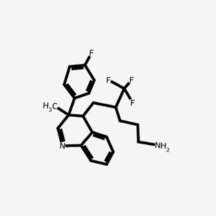 CC1(c2ccc(F)cc2)C=Nc2ccccc2C1CC(CCCN)C(F)(F)F